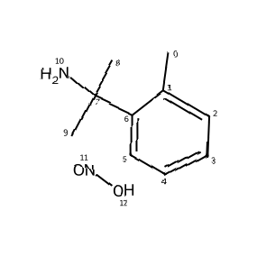 Cc1ccccc1C(C)(C)N.O=NO